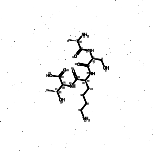 C[C@H](N)C(=O)N[C@@H](CO)C(=O)N[C@@H](CCCCN)C(=O)N[C@H](C(=O)O)[C@@H](C)O